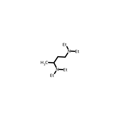 CCN(CC)CC[C](C)N(CC)CC